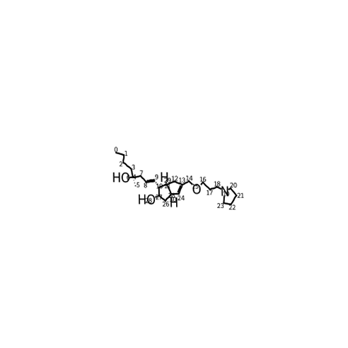 CCCC[C@](C)(O)C/C=C/[C@@H]1[C@H]2CC(COCCCN3CCCC3)=C[C@H]2C[C@H]1O